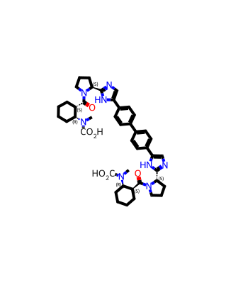 CN(C(=O)O)[C@@H]1CCCC[C@@H]1C(=O)N1CCC[C@H]1c1ncc(-c2ccc(-c3ccc(-c4cnc([C@@H]5CCCN5C(=O)[C@H]5CCCC[C@H]5N(C)C(=O)O)[nH]4)cc3)cc2)[nH]1